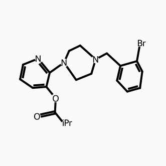 CC(C)C(=O)Oc1cccnc1N1CCN(Cc2ccccc2Br)CC1